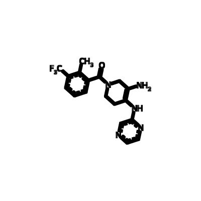 Cc1c(C(=O)N2CCC(Nc3cnccn3)=C(N)C2)cccc1C(F)(F)F